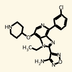 CCn1c(-c2nonc2N)nc2c(-c3cccc(Cl)c3)ncc(OC3CCNCC3)c21